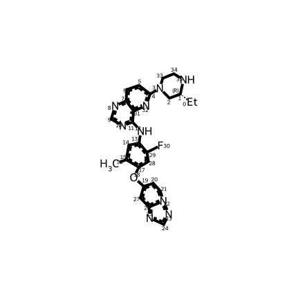 CC[C@@H]1CN(c2ccc3ncnc(Nc4cc(C)c(Oc5ccn6ncnc6c5)cc4F)c3n2)CCN1